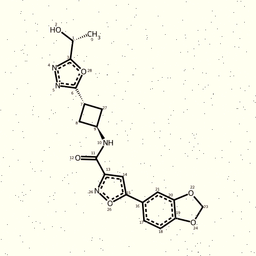 C[C@@H](O)c1nnc([C@H]2C[C@H](NC(=O)c3cc(-c4ccc5c(c4)OCO5)on3)C2)o1